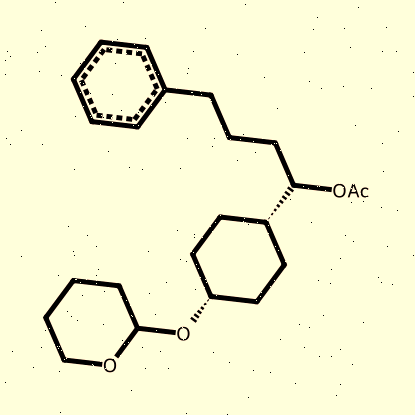 CC(=O)OC(CCCc1ccccc1)[C@H]1CC[C@@H](OC2CCCCO2)CC1